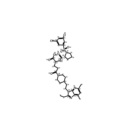 CCc1nc2c(C)cc(C)nc2n1CCC1CCN(C(=O)CC[C@H](NC(=O)[C@H]2CCCN2S(=O)(=O)c2cc(Cl)cc(Cl)c2)C(=O)O)CC1